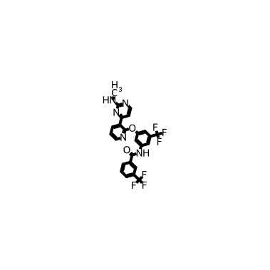 CNc1nccc(-c2cccnc2Oc2cc(NC(=O)c3cccc(C(F)(F)F)c3)cc(C(F)(F)F)c2)n1